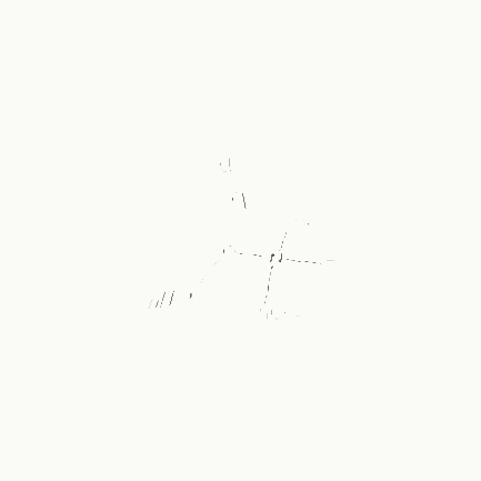 CCCCCCCC[N+]([Ti])(CCCCCCCC)OCCCCCC.[Cl-].[Cl-]